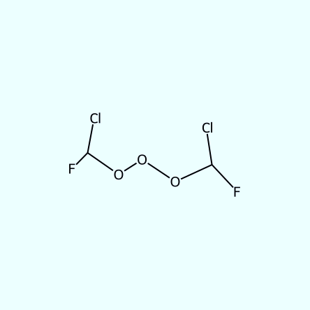 FC(Cl)OOOC(F)Cl